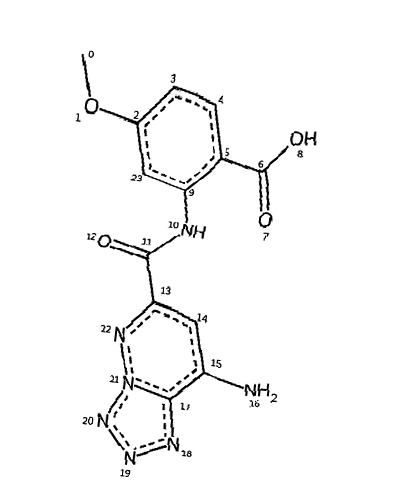 COc1ccc(C(=O)O)c(NC(=O)c2cc(N)c3nnnn3n2)c1